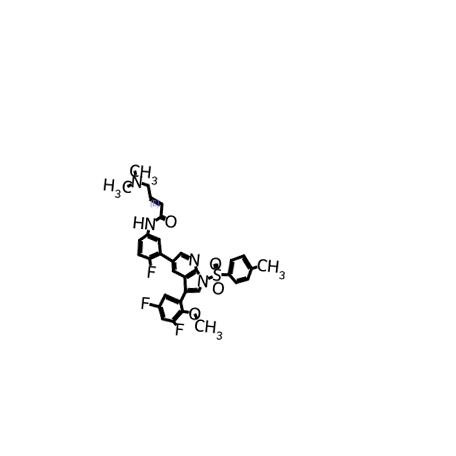 COc1c(F)cc(F)cc1-c1cn(S(=O)(=O)c2ccc(C)cc2)c2ncc(-c3cc(NC(=O)/C=C/CN(C)C)ccc3F)cc12